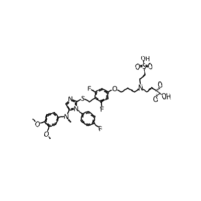 COc1ccc(N(C)c2cnc(SCc3c(F)cc(OCCCN(CCS(=O)(=O)O)CCS(=O)(=O)O)cc3F)n2-c2ccc(F)cc2)cc1OC